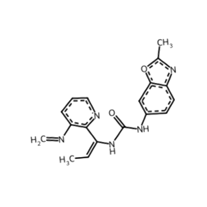 C=Nc1cccnc1/C(=C\C)NC(=O)Nc1ccc2nc(C)oc2c1